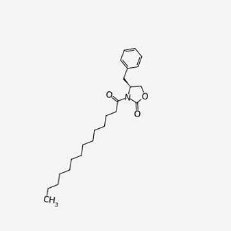 CCCCCCCCCCCCCC(=O)N1C(=O)OC[C@@H]1Cc1ccccc1